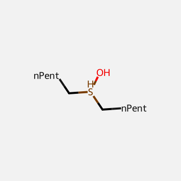 CCCCCC[SH](O)CCCCCC